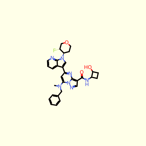 CN(Cc1ccccc1)c1cc(-c2cn([C@@H]3CCOC[C@H]3F)c3ncccc23)nc2c(C(=O)NC3CCC3O)cnn12